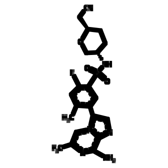 Cc1cc(F)c(S(=O)(=O)N[C@H]2CC[C@H](CC#N)OC2)cc1-c1cnc2c(N)nc(C(F)(F)F)cn12